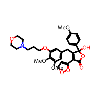 COc1ccc(C2(O)OC(=O)C(C3=CCOO3)=C2Cc2cc(OC)c(OC)c(OCCCN3CCOCC3)c2)cc1